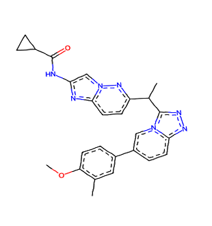 COc1ccc(-c2ccc3nnc(C(C)c4ccc5nc(NC(=O)C6CC6)cn5n4)n3c2)cc1C